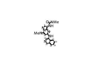 CNC(=O)Nc1cnn2c(NC)cc(Nc3cncc4ccccc34)nc12